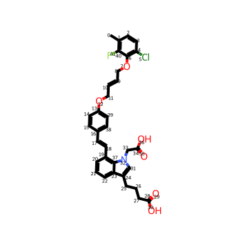 Cc1ccc(Cl)c(OCC=CCOc2ccc(C=Cc3cccc4c(CCCC(=O)O)cn(CC(=O)O)c34)cc2)c1F